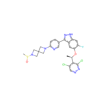 C[C@@H](Oc1cc2c(-c3ccc(N4CC5(C4)CN([S+](C)[O-])C5)nc3)n[nH]c2cc1F)c1c(Cl)cnnc1Cl